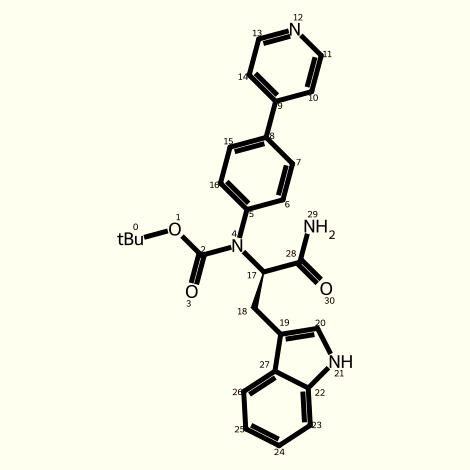 CC(C)(C)OC(=O)N(c1ccc(-c2ccncc2)cc1)[C@H](Cc1c[nH]c2ccccc12)C(N)=O